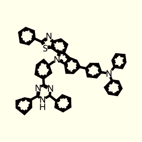 c1ccc(C2=NC(c3cccc(-n4c5ccc(-c6ccc(N(c7ccccc7)c7ccccc7)cc6)cc5c5ccc6nc(-c7ccccc7)sc6c54)c3)=NC(c3ccccc3)N2)cc1